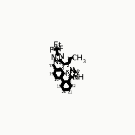 C/C=C/Cc1nc(C(F)(F)CC)nn1Cc1ccc(-c2ccccc2-c2nnn[nH]2)cc1